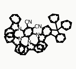 N#Cc1c(C#N)c(-n2c3ccccc3c3c4c(ccc32)C(c2ccccc2)(c2ccccc2)c2ccccc2-4)c(-n2c3ccccc3c3ccccc32)c(-n2c3ccccc3c3ccccc32)c1-n1c2ccccc2c2ccccc21